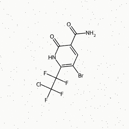 NC(=O)c1cc(Br)c(C(F)(F)C(F)(F)Cl)[nH]c1=O